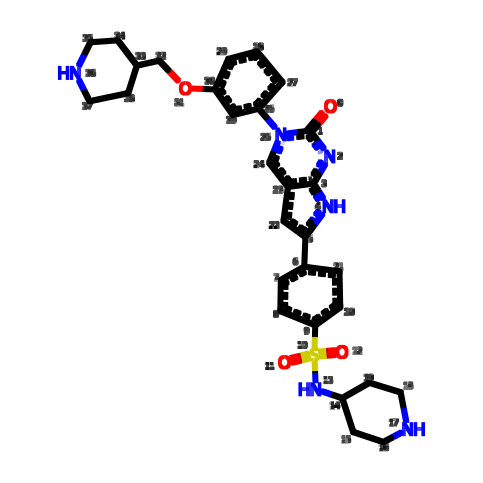 O=c1nc2[nH]c(-c3ccc(S(=O)(=O)NC4CCNCC4)cc3)cc2cn1-c1cccc(OCC2CCNCC2)c1